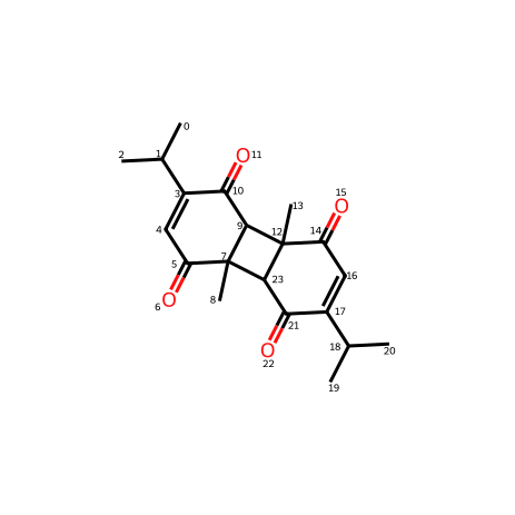 CC(C)C1=CC(=O)C2(C)C(C1=O)C1(C)C(=O)C=C(C(C)C)C(=O)C21